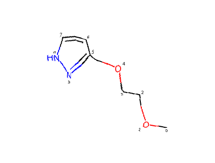 COCCOc1cc[nH]n1